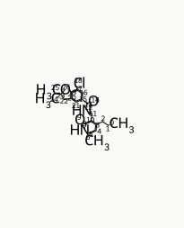 CCCc1cc(C)[nH]c(=O)c1CNC(=O)c1cc(Cl)c2c(c1)CC(C)(C)O2